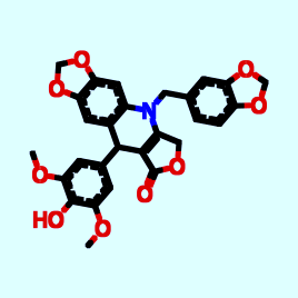 COc1cc(C2C3=C(COC3=O)N(Cc3ccc4c(c3)OCO4)c3cc4c(cc32)OCO4)cc(OC)c1O